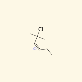 CC/C=C\C(C)(C)Cl